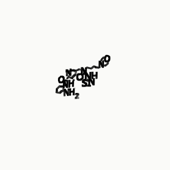 Nc1ccccc1NC(=O)c1ccc(CN(CCCCN2CCOCC2)C(=O)Nc2nccs2)cn1